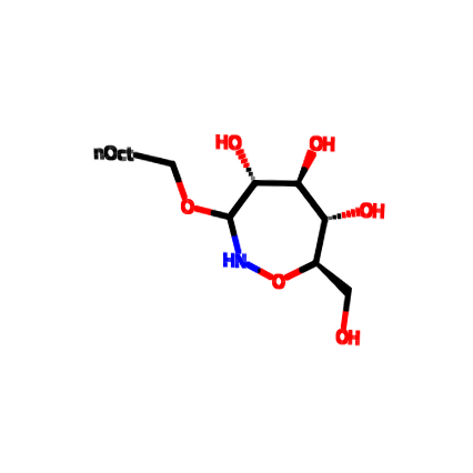 CCCCCCCCCOC1NO[C@H](CO)[C@@H](O)[C@H](O)[C@H]1O